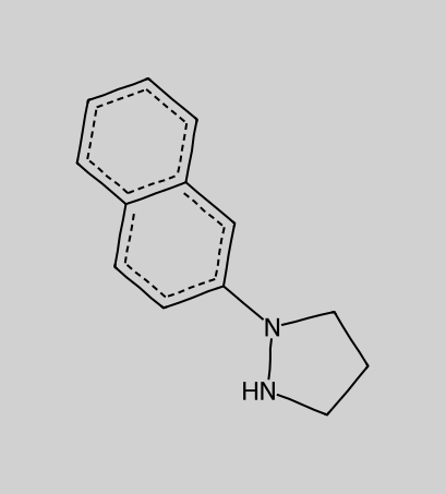 c1ccc2cc(N3CCCN3)ccc2c1